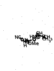 COc1nc(Nc2ccc(C#N)cc2)ncc1C#C[C@@H]1CCC[C@H](NC(=O)CN(C)C(=O)/C=C/CN(C)C)C1